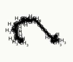 COc1ccc2c(c1)C(c1ccc(Cl)cc1)=N[C@@H](CC(=O)NCCOCCOCCOCCOCCOCCOCCC(=O)NCCCN(C)CCCNC(=O)c1cc(NC(=O)c3nc(NC(=O)CCNC(=O)c4cc(NC(=O)c5nc(NC(=O)CCNC(=O)c6cc(NC(=O)c7nccn7C(C)C)cn6C)cn5C(C)C)cn4C)cn3C(C)C)cn1C)c1nnc(C)n1-2